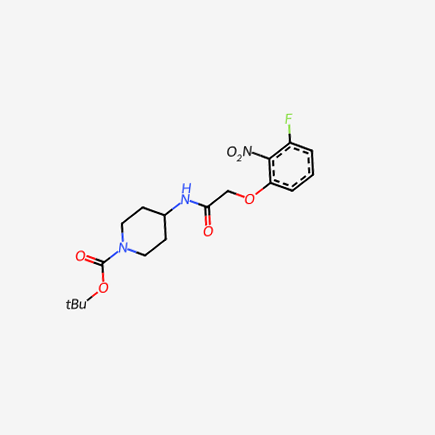 CC(C)(C)OC(=O)N1CCC(NC(=O)COc2cccc(F)c2[N+](=O)[O-])CC1